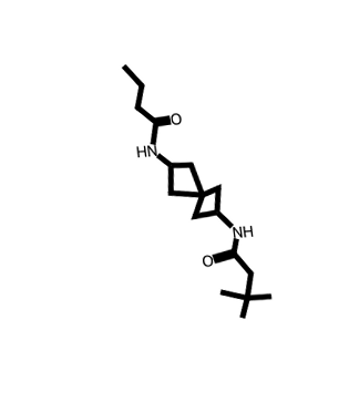 CCCC(=O)NC1CC2(C1)CC(NC(=O)CC(C)(C)C)C2